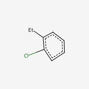 CCc1[c]cccc1Cl